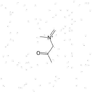 C=[N+](C)CC(C)=O